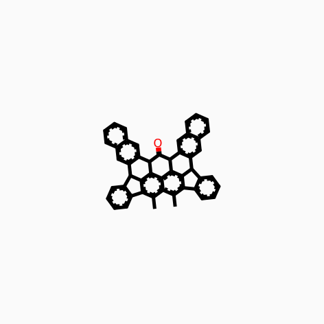 Cc1c2c3c4c5c6c7c(c(C)c15)-c1ccccc1C7c1cc5ccccc5cc1C6C(=O)C4c1cc4ccccc4cc1C3c1ccccc1-2